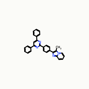 Cc1c(-c2ccc(-c3nc(-c4ccccc4)cc(-c4ccccc4)n3)cc2)nc2ccccn12